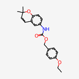 CCOc1ccc(COC(=O)Nc2ccc3c(c2)C=CC(C)(C)O3)cc1